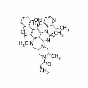 C=CC(=O)N1CC2CN(C)c3c(F)c(-c4c(O)cccc4Cl)c(F)c4c3c(nc(=O)n4-c3c(C)ccnc3C(C)C)N2CC1C